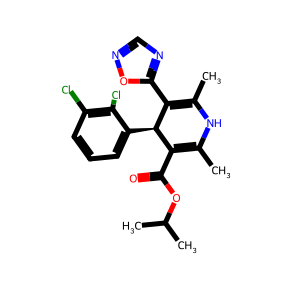 CC1=C(C(=O)OC(C)C)[C@@H](c2cccc(Cl)c2Cl)C(c2ncno2)=C(C)N1